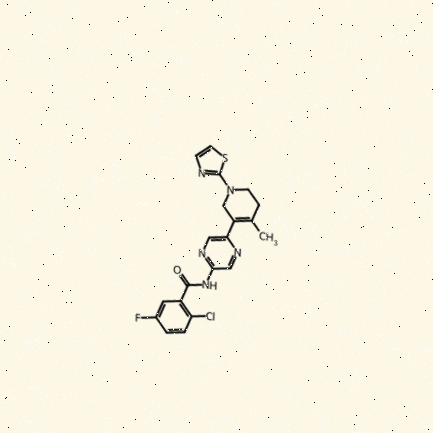 CC1=C(c2cnc(NC(=O)c3cc(F)ccc3Cl)cn2)CN(c2nccs2)CC1